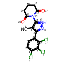 N#Cc1c(-c2ccc(Cl)c(Cl)c2Cl)n[nH]c1N1C(=O)CCCC1=O